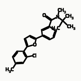 Cc1ccc(-c2ccc(-c3cccc(C(=O)N(C)C(C)(C)C)c3)o2)c(Cl)c1